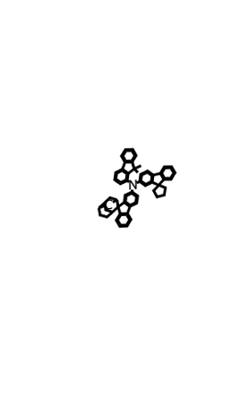 CC1(C)c2ccccc2-c2cccc(N(c3ccc4c(c3)C3(CCCC3)c3ccccc3-4)c3ccc4c(c3)C3(c5ccccc5-4)C4CCC5CC3CC5C4)c21